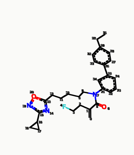 C=C(CCF)C(=O)N(CCCCCc1nc(C2CC2)no1)c1cccc(-c2ccc(CC)cc2)c1